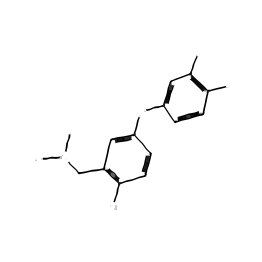 CC(C)(C)N(Cc1cc(Oc2ccc(Cl)c(F)c2)ccc1N)C(=O)O